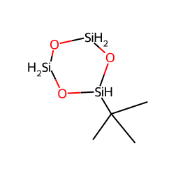 CC(C)(C)[SiH]1O[SiH2]O[SiH2]O1